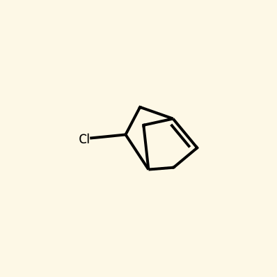 ClC1CC2=CCC1C2